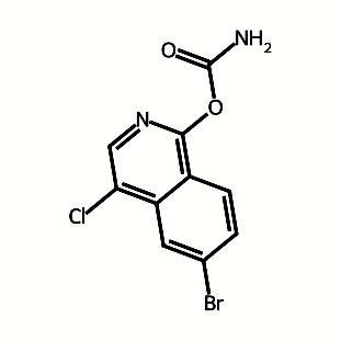 NC(=O)Oc1ncc(Cl)c2cc(Br)ccc12